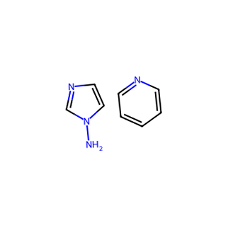 Nn1ccnc1.c1ccncc1